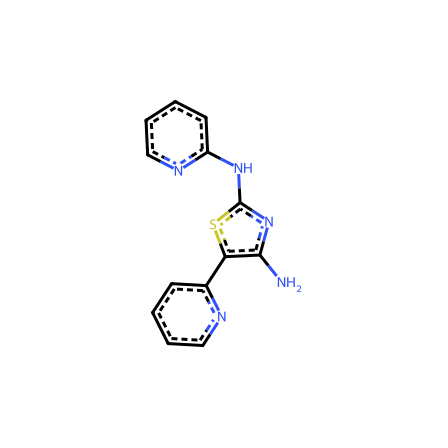 Nc1nc(Nc2ccccn2)sc1-c1ccccn1